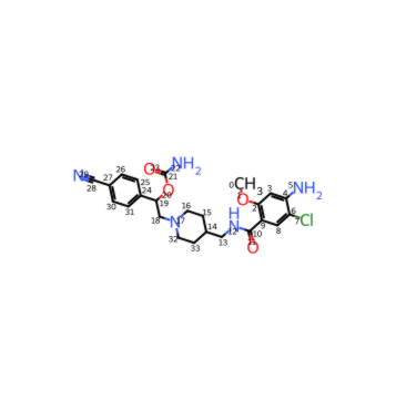 COc1cc(N)c(Cl)cc1C(=O)NCC1CCN(CC(OC(N)=O)c2ccc(C#N)cc2)CC1